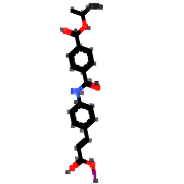 COC(C)OC(=O)c1ccc(C(=O)Nc2ccc(/C=C/C(=O)OI)cc2)cc1